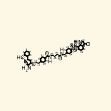 Nc1nnc(-c2ccccc2O)cc1OCCc1ccc(C(=O)NCCCC(=O)NCc2ccc(S(=O)(=O)Nc3cccc4c(Cl)c[nH]c34)cc2)cc1